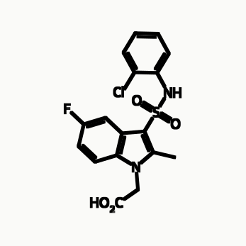 Cc1c(S(=O)(=O)Nc2ccccc2Cl)c2cc(F)ccc2n1CC(=O)O